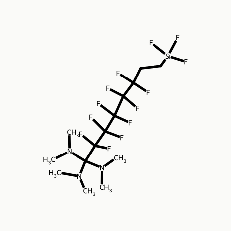 CN(C)C(N(C)C)(N(C)C)C(F)(F)C(F)(F)C(F)(F)C(F)(F)C(F)(F)CC[Si](F)(F)F